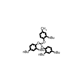 CCCCc1ccc(OP(Oc2ccc(C)cc2CCCC)Oc2ccc(CCCC)cc2CCCC)c(CCCC)c1